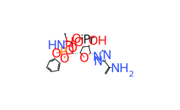 C=C(N)c1ncn([C@@H]2O[C@H](CO[P@@](=O)(N[C@@H](C)C(=O)OC(C)C)Oc3ccccc3)[C@@H](O)[C@H]2O)n1